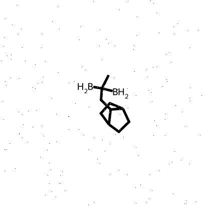 BC(B)(C)CC1C2CCC1CC2